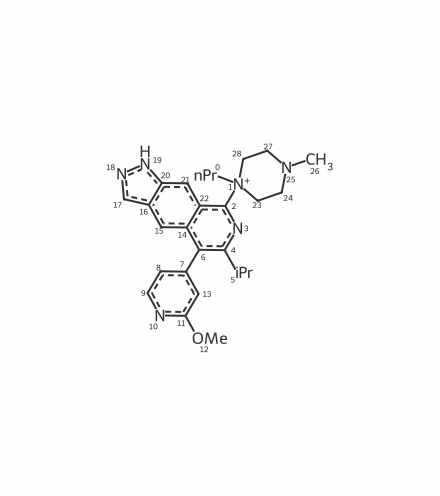 CCC[N+]1(c2nc(C(C)C)c(-c3ccnc(OC)c3)c3cc4cn[nH]c4cc23)CCN(C)CC1